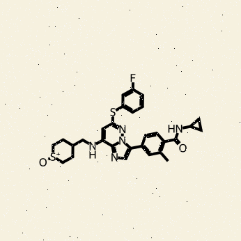 Cc1cc(-c2cnc3c(NCC4CC[S+]([O-])CC4)cc(Sc4cccc(F)c4)nn23)ccc1C(=O)NC1CC1